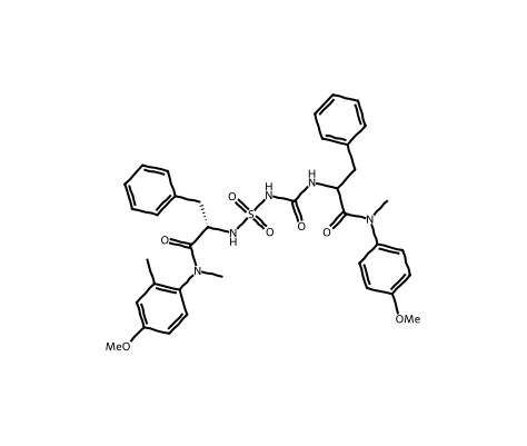 COc1ccc(N(C)C(=O)C(Cc2ccccc2)NC(=O)NS(=O)(=O)N[C@@H](Cc2ccccc2)C(=O)N(C)c2ccc(OC)cc2C)cc1